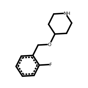 Fc1ccccc1COC1CCNCC1